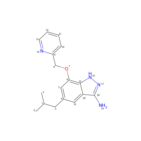 CC(C)Cc1cc(OCc2ccccn2)c2[nH]nc(N)c2c1